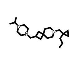 CCCC1(CN2CCC3(CC2)CC(CN2CCN(C(C)C)CC2)C3)CC1